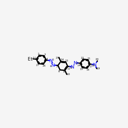 CCc1ccc(/N=N/C2CC(C)=C(/N=N/c3ccc(N(C)C)cc3)C=C2C)cc1